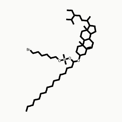 CCCCCCCCCCCCCCCC(OC1CCC2(C)C(=CCC3C2CCC2(C)C(C(C)CCC(CC)C(C)C)CCC32)C1)O[Si](C)(C)OCCCCCCBr